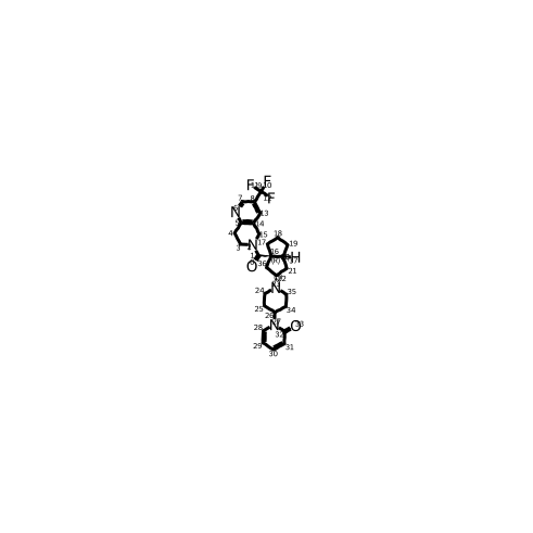 O=C(N1CCc2ncc(C(F)(F)F)cc2C1)[C@@]12CCC[C@@H]1C[C@H](N1CCC(n3ccccc3=O)CC1)C2